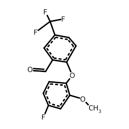 COc1cc(F)ccc1Oc1ccc(C(F)(F)F)cc1C=O